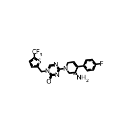 N[C@H]1CN(c2ncn(Cc3ccc(C(F)(F)F)s3)c(=O)n2)CC=C1c1ccc(F)cc1